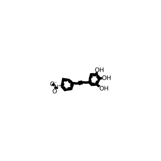 O=[N+]([O-])c1ccc(C#Cc2cc(O)c(O)c(O)c2)cc1